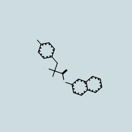 Cc1ccc(CC(C)(O)C(=O)Nc2ccc3ccccc3c2)cc1